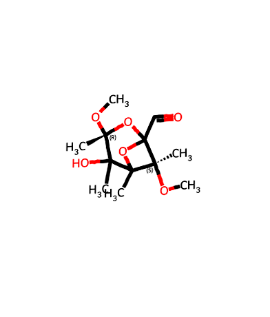 CO[C@]1(C)OC2(C=O)OC(C)(C1(C)O)[C@]2(C)OC